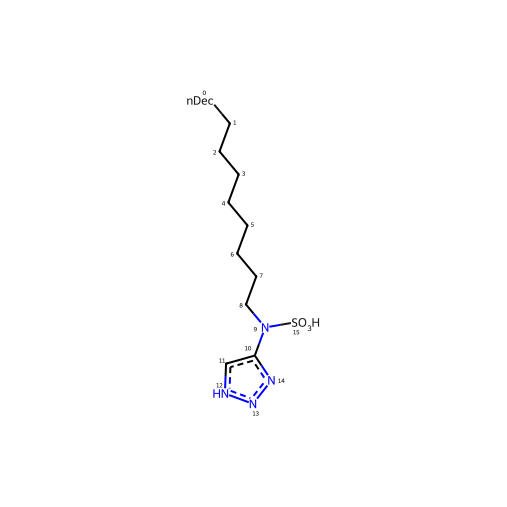 CCCCCCCCCCCCCCCCCCN(c1c[nH]nn1)S(=O)(=O)O